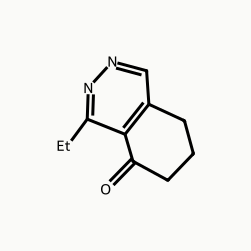 CCc1nncc2c1C(=O)CCC2